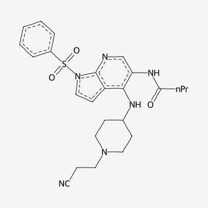 CCCC(=O)Nc1cnc2c(ccn2S(=O)(=O)c2ccccc2)c1NC1CCN(CCC#N)CC1